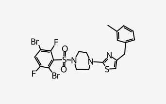 Cc1cccc(Cc2csc(N3CCN(S(=O)(=O)c4c(F)c(Br)cc(F)c4Br)CC3)n2)c1